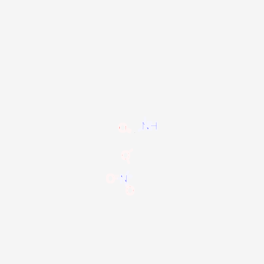 O=C(Nc1ccc(I)cc1)C1CCC([N+](=O)[O-])O1